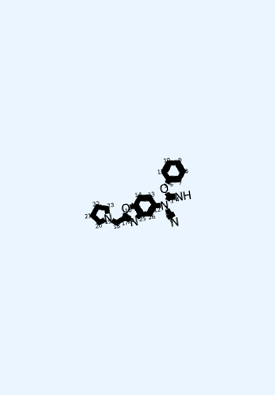 N#CN(C(=N)Oc1ccccc1)c1ccc2oc(CN3CCCC3)nc2c1